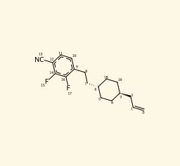 C=CC[C@H]1CC[C@H](CCc2ccc(C#N)c(F)c2F)CC1